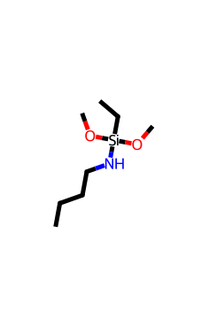 CCCCN[Si](CC)(OC)OC